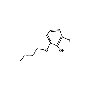 CCCCOc1cccc(F)c1O